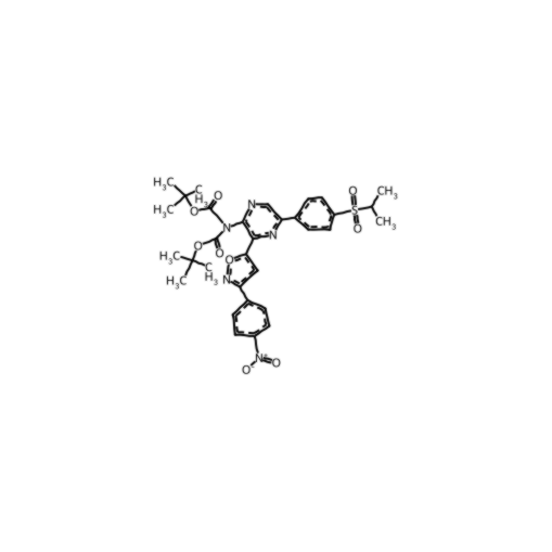 CC(C)S(=O)(=O)c1ccc(-c2cnc(N(C(=O)OC(C)(C)C)C(=O)OC(C)(C)C)c(-c3cc(-c4ccc([N+](=O)[O-])cc4)no3)n2)cc1